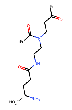 CC(C)C(=O)CCN(CCNC(=O)CC[C@H](N)C(=O)O)C(=O)C(C)C